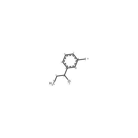 CCC([O])c1cccc(I)c1